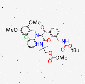 COC(=O)OCC(C)(C)NC(=O)[C@H](C(=O)c1cccc(CNC(=O)OC(C)(C)C)c1)N(Cc1ccc(OC)cc1OC)c1ccccc1Cl